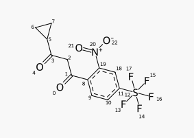 O=C(CC(=O)C1CC1)c1ccc(S(F)(F)(F)(F)F)cc1[N+](=O)[O-]